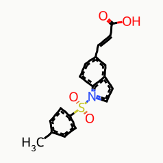 Cc1ccc(S(=O)(=O)n2ccc3cc(C=CC(=O)O)ccc32)cc1